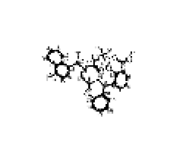 COC(=O)c1cccc(C2C[C@H](CN(C(=O)OC(C)(C)C)[C@H](C)c3ccc(F)c4ccccc34)Oc3ccccc32)c1OC